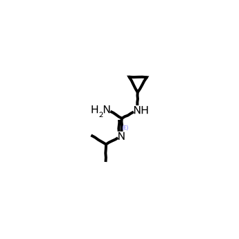 CC(C)/N=C(\N)NC1CC1